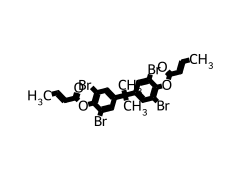 CC=CC(=O)Oc1c(Br)cc(C(C)(C)c2cc(Br)c(OC(=O)C=CC)c(Br)c2)cc1Br